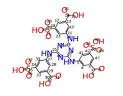 O=C(O)c1cc(Nc2nc(Nc3cc(C(=O)O)cc(S(=O)(=O)O)c3)nc(Nc3cc(C(=O)O)cc(S(=O)(=O)O)c3)n2)cc(S(=O)(=O)O)c1